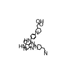 N#CCC1CCN(c2nc(Nc3ccc(N4CCCC(CC(=O)O)C4)cc3)c3c(=O)[nH]ncc3n2)CC1